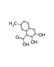 Cc1ccc2cc(O)c(O)c(C(=O)O)c2c1